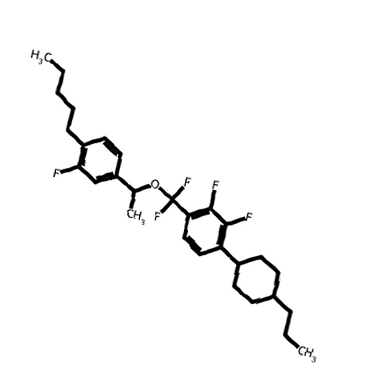 CCCCCc1ccc(C(C)OC(F)(F)c2ccc(C3CCC(CCC)CC3)c(F)c2F)cc1F